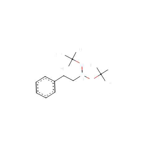 CC(C)(C)O[SiH](CCc1ccccc1)OC(C)(C)C